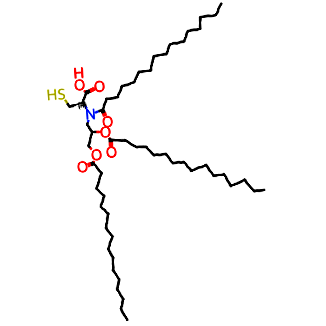 CCCCCCCCCCCCCCCC(=O)OCC(CN(C(=O)CCCCCCCCCCCCCCC)[C@@H](CS)C(=O)O)OC(=O)CCCCCCCCCCCCCCC